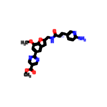 COC(=O)c1cnc(-c2cc(OC)c3oc(CNC(=O)/C=C/c4ccc(N)nc4)cc3c2)nc1